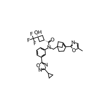 Cc1cnc(C2=C3CC(CN(c4cccc(-c5nc(C6CC6)no5)c4)C(=O)[C@H]4C[C@](O)(C(F)(F)F)C4)(CC2)C3)o1